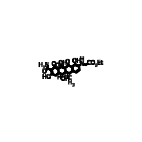 CCOC(=O)CNc1ccc2c(c1O)C(=O)C1=C(O)[C@]3(O)C(=O)C(C(N)=O)=C(O)C[C@@H]3[C@@H](O)[C@@H]1[C@H]2C